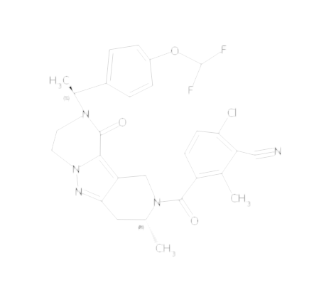 Cc1c(C(=O)N2Cc3c(nn4c3C(=O)N([C@@H](C)c3ccc(OC(F)F)cc3)CC4)C[C@H]2C)ccc(Cl)c1C#N